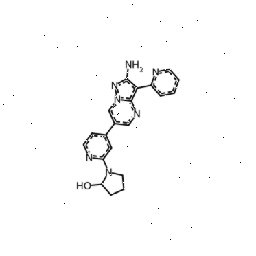 Nc1nn2cc(-c3ccnc(N4CCCC4O)c3)cnc2c1-c1ccccn1